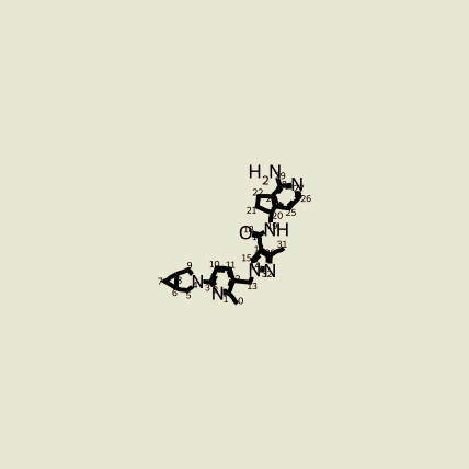 Cc1nc(N2CC3CC3C2)ccc1Cn1cc(C(=O)NC2CCc3c2ccnc3N)c(C)n1